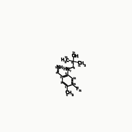 Cc1cc(C=N)c(NCC(C)(C)O)cc1F